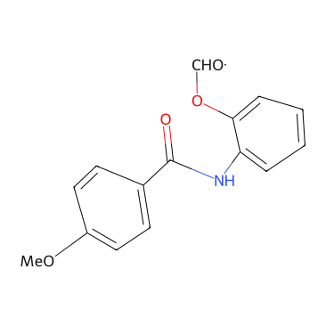 COc1ccc(C(=O)Nc2ccccc2O[C]=O)cc1